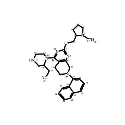 CN1CCCC1COc1nc2c(c(N3CCNCC3CC#N)n1)CCN(c1cccc3ccccc13)C2